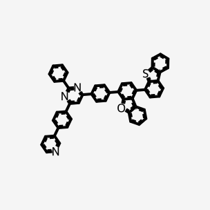 c1ccc(-c2nc(-c3ccc(-c4cccnc4)cc3)cc(-c3ccc(-c4ccc(-c5cccc6c5sc5ccccc56)c5c4oc4ccccc45)cc3)n2)cc1